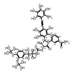 Bc1c(O)c(O)c(O)c(O)c1C#Cc1c(O)c(O)c([C@H]2N(c3cccc(C(N)=O)c3)C(=O)[C@@H](CC(=O)NC(O)(O)C(O)(O)c3ccc(OC(O)(O)O)c(OC(O)(O)O)c3)[S@+]2[O-])c(O)c1O